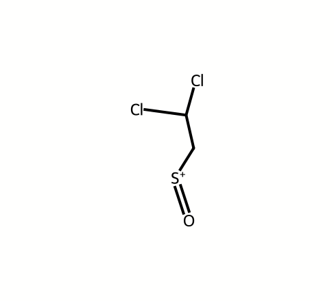 O=[S+]CC(Cl)Cl